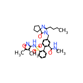 CCCCC1=NC2(CCCC2)C(=O)N1Cc1ccc(-c2ccccc2S(=O)(=O)Nc2noc(C)c2C)c(C(=O)NC)c1